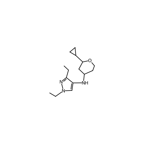 CCc1nn(CC)cc1NC1CCOC(C2CC2)C1